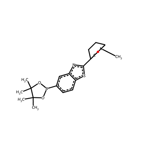 CN1CC2(c3nc4cc(B5OC(C)(C)C(C)(C)O5)ccc4s3)CCC1CC2